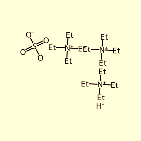 CC[N+](CC)(CC)CC.CC[N+](CC)(CC)CC.CC[N+](CC)(CC)CC.O=S(=O)([O-])[O-].[H-]